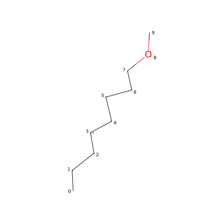 CCC[CH]CCCCOC